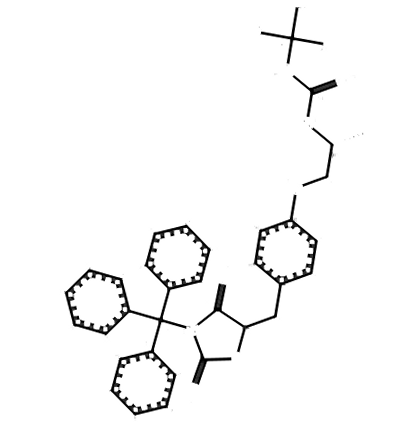 C[C@H](COc1ccc(CC2SC(=O)N(C(c3ccccc3)(c3ccccc3)c3ccccc3)C2=O)cc1)NC(=O)OC(C)(C)C